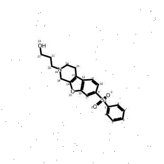 O=S(=O)(c1ccccc1)c1ccc2c3c(oc2c1)CN(CCCO)CC3